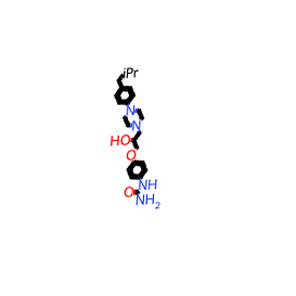 CC(C)Cc1ccc(N2CCN(CC(O)COc3ccc(NC(N)=O)cc3)CC2)cc1